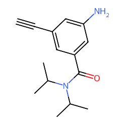 C#Cc1cc(N)cc(C(=O)N(C(C)C)C(C)C)c1